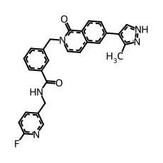 Cc1n[nH]cc1-c1ccc2c(=O)n(Cc3cccc(C(=O)NCc4ccc(F)nc4)c3)ccc2c1